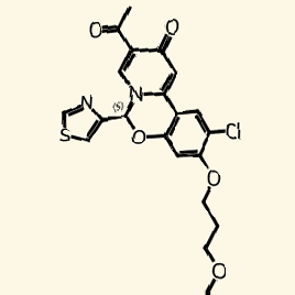 COCCCOc1cc2c(cc1Cl)-c1cc(=O)c(C(C)=O)cn1[C@H](c1cscn1)O2